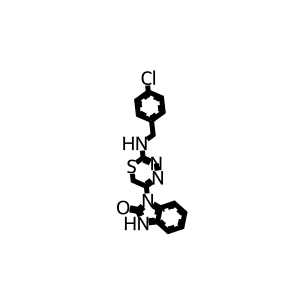 O=c1[nH]c2ccccc2n1C1=NN=C(NCc2ccc(Cl)cc2)SC1